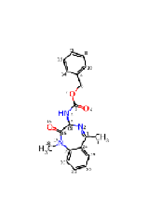 CC1=N[C@H](NC(=O)OCc2ccccc2)C(=O)N(C)c2ccccc21